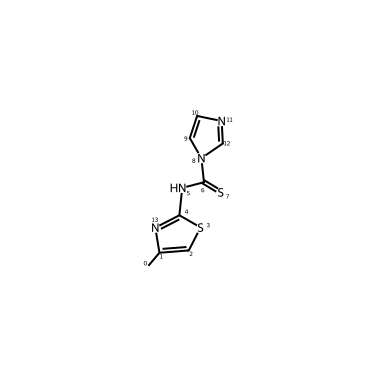 Cc1csc(NC(=S)n2ccnc2)n1